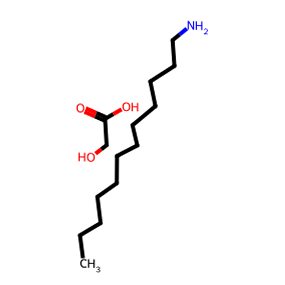 CCCCCCCCCCCCN.O=C(O)CO